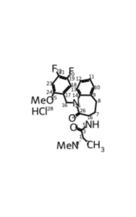 CN[C@@H](C)C(=O)N[C@H]1CCc2ccccc2N(Cc2cc(F)c(F)cc2OC)C1=O.Cl